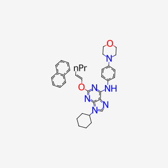 CCCC=COc1nc(Nc2ccc(N3CCOCC3)cc2)c2ncn(C3CCCCC3)c2n1.c1ccc2ccccc2c1